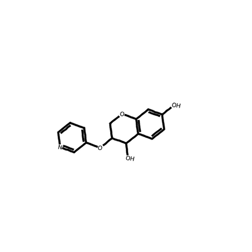 Oc1ccc2c(c1)OCC(Oc1cccnc1)C2O